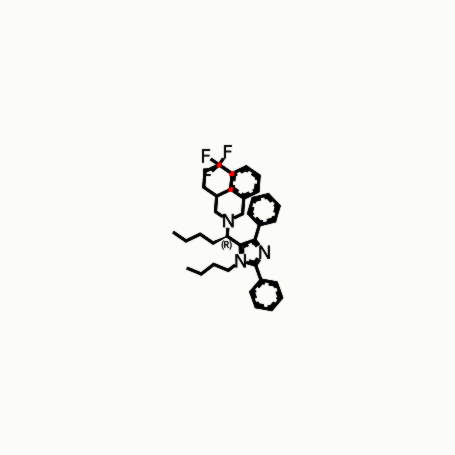 CCCC[C@H](c1c(-c2ccccc2)nc(-c2ccccc2)n1CCCC)N(Cc1cccc(C(F)(F)F)c1)CC1CCCCC1